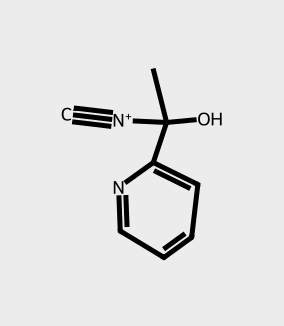 [C-]#[N+]C(C)(O)c1ccccn1